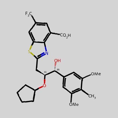 COc1cc([C@@H](O)[C@H](Cc2nc3c(C(=O)O)cc(C(F)(F)F)cc3s2)OC2CCCC2)cc(OC)c1C